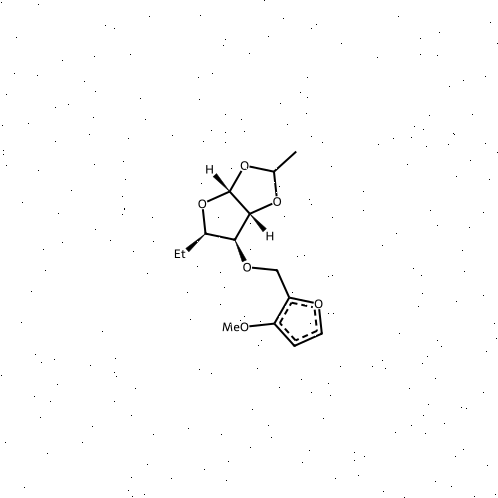 CC[C@H]1O[C@@H]2OC(C)O[C@@H]2[C@H]1OCc1occc1OC